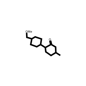 COCC1CCC(C2CCC(C)CC2=O)CC1